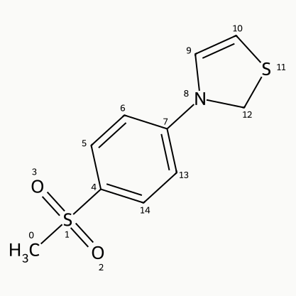 CS(=O)(=O)c1ccc(N2C=CSC2)cc1